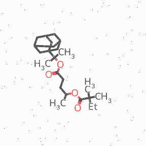 CCC(C)(C)C(=O)OC(C)CCC(=O)OC(C)(C)C12CC3CC(CC(C3)C1)C2